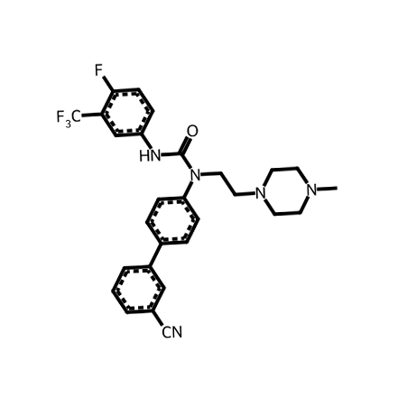 CN1CCN(CCN(C(=O)Nc2ccc(F)c(C(F)(F)F)c2)c2ccc(-c3cccc(C#N)c3)cc2)CC1